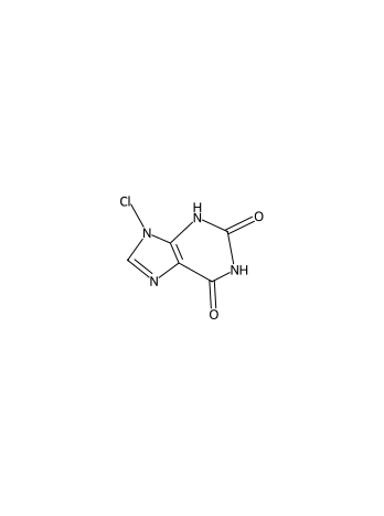 O=c1[nH]c(=O)c2ncn(Cl)c2[nH]1